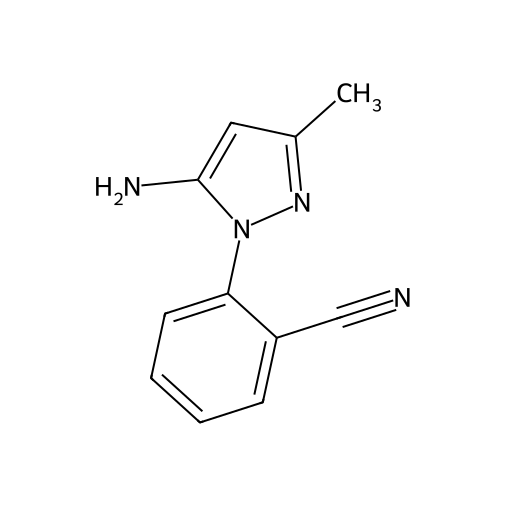 Cc1cc(N)n(-c2ccccc2C#N)n1